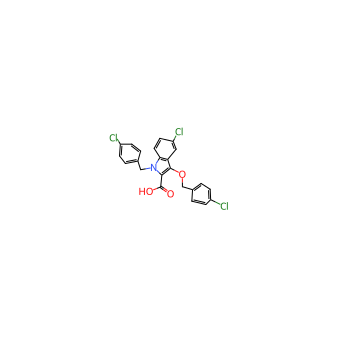 O=C(O)c1c(OCc2ccc(Cl)cc2)c2cc(Cl)ccc2n1Cc1ccc(Cl)cc1